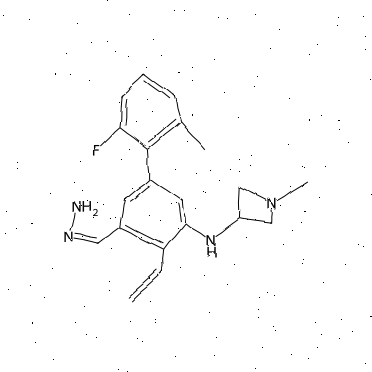 C=Cc1c(/C=N\N)cc(-c2c(C)cccc2F)cc1NC1CN(C)C1